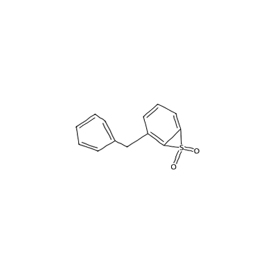 O=S1(=O)c2cccc(Cc3ccccc3)c21